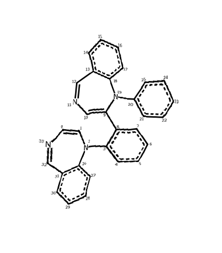 C1=CN(c2ccccc2C2=CN=Cc3ccccc3N2c2ccccc2)c2ccccc2C=N1